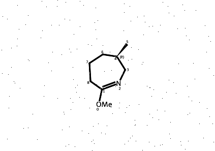 COC1=NC[C@H](C)CCC1